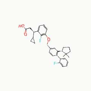 CC1(C)CCC[C@@H]1c1cc(COc2cccc([C@H](CC(=O)O)C3CC3)c2F)ccc1-c1ccccc1F